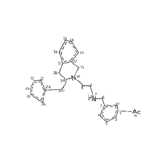 CC(=O)c1cccc(CNCCN2Cc3ccccc3CC2Cc2ccccc2)c1